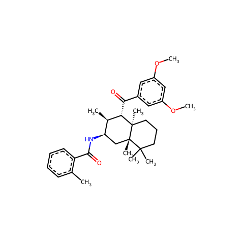 COc1cc(OC)cc(C(=O)[C@H]2[C@H](C)[C@H](NC(=O)c3ccccc3C)C[C@@]3(C)C(C)(C)CCC[C@]23C)c1